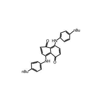 CCCCc1ccc(NC2=C3C(=O)C=CC(Nc4ccc(CCCC)cc4)=C3C(=O)C=C2)cc1